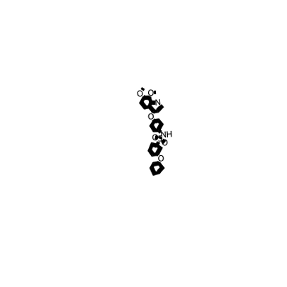 COc1ccc2c(Oc3ccc(NS(=O)(=O)c4cccc(Oc5ccccc5)c4)cc3)ccnc2c1OC